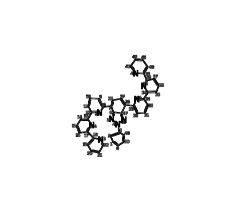 c1ccc(-n2nc3c(-c4cccc(-c5cccc(-c6ccccn6)n5)n4)ccc(-c4cccc(-c5cccc(-c6ccccn6)n5)n4)c3n2)cc1